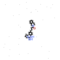 N=C(Nc1ccc(CCCC(=O)N2CCc3ccccc3C2)cc1)N1CCCC1